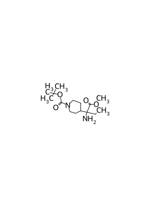 CCC(N)(C(=O)OC)C1CCN(C(=O)OC(C)(C)C)CC1